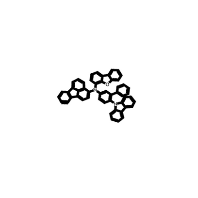 c1ccc2c(c#1)-c1ccc(N(c3ccc(-n4c5ccccc5c5ccccc54)c(-c4ccccc4)c3)c3cccc4c3oc3ccccc34)c3cccc-2c13